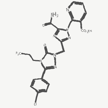 CCOC(=O)c1cccnc1-n1nc(Cn2nc(-c3ccc(Cl)cc3)n(CCC(F)(F)F)c2=O)nc1C(N)=O